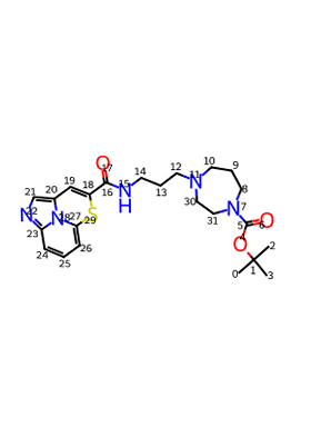 CC(C)(C)OC(=O)N1CCCN(CCCNC(=O)C2=Cc3cnc4cccc(n34)S2)CC1